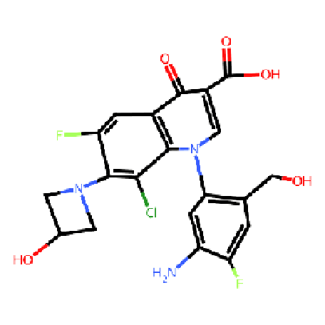 Nc1cc(-n2cc(C(=O)O)c(=O)c3cc(F)c(N4CC(O)C4)c(Cl)c32)c(CO)cc1F